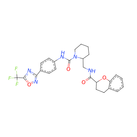 O=C(NCC1CCCCN1C(=O)Nc1ccc(-c2noc(C(F)(F)F)n2)cc1)C1CCc2ccccc2O1